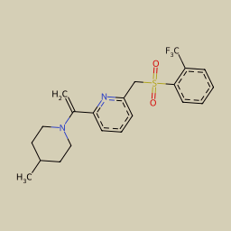 C=C(c1cccc(CS(=O)(=O)c2ccccc2C(F)(F)F)n1)N1CCC(C)CC1